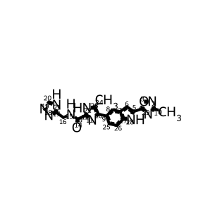 Cc1noc(-c2cc3cc(-c4nc(C(=O)NCc5nnc[nH]5)[nH]c4C)ccc3[nH]2)n1